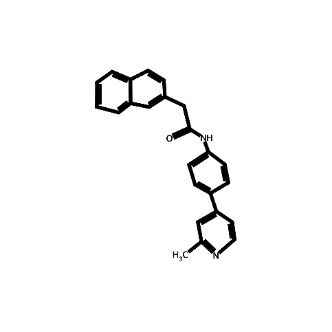 Cc1cc(-c2ccc(NC(=O)Cc3ccc4ccccc4c3)cc2)ccn1